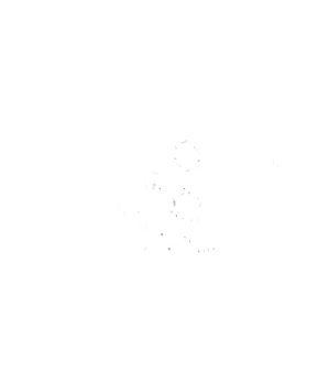 CCC[C@@H](OC(C)(C)C)[C@H]1COC(=O)N1c1ccnc(N[C@@H](C)c2ccc(OCC(C)C)c(C)c2)n1